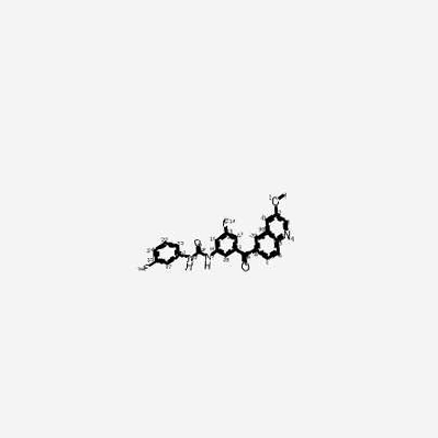 COc1cnc2ccc(C(=O)c3cc(F)cc(NC(=O)Nc4cccc(F)c4)c3)cc2c1